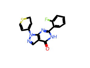 O=c1[nH]c(-c2ccccc2F)nc2c1cnn2C1=CCSC=C1